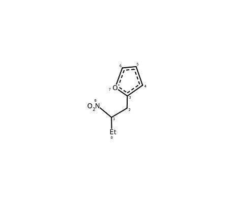 CCC(Cc1ccco1)[N+](=O)[O-]